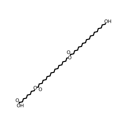 O=C(O)CCCCCCCOC(=O)CCCCCCCCCCCCCCCOC(=O)CCCCCCCCCCCCCCCCCO